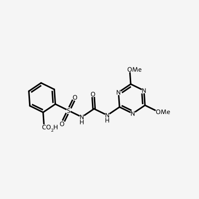 COc1nc(NC(=O)NS(=O)(=O)c2ccccc2C(=O)O)nc(OC)n1